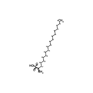 CCCCCCCCCCCCCCCCCCC(N)S(=O)(=O)O